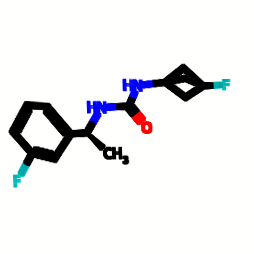 C[C@H](NC(=O)NC12CC(F)(C1)C2)c1cccc(F)c1